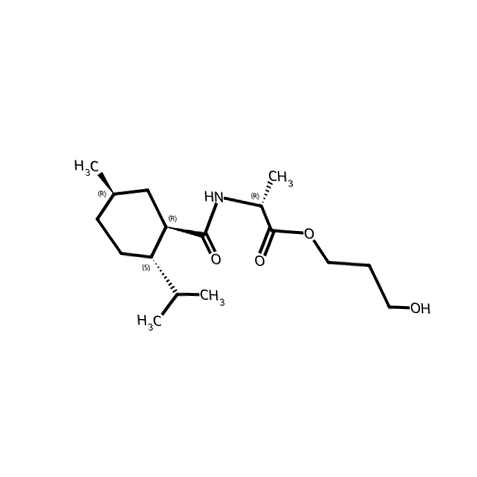 CC(C)[C@@H]1CC[C@@H](C)C[C@H]1C(=O)N[C@H](C)C(=O)OCCCO